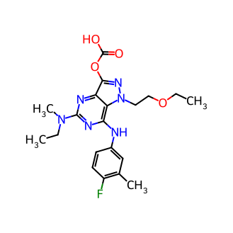 CCOCCn1nc(OC(=O)O)c2nc(N(C)CC)nc(Nc3ccc(F)c(C)c3)c21